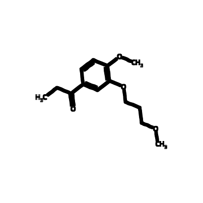 CCC(=O)c1ccc(OC)c(OCCCOC)c1